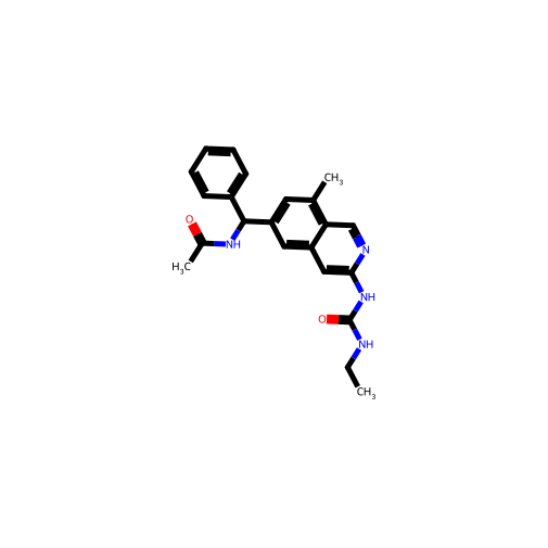 CCNC(=O)Nc1cc2cc(C(NC(C)=O)c3ccccc3)cc(C)c2cn1